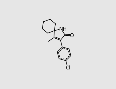 CC1=C(c2ccc(Cl)cc2)C(=O)NC12CCCCC2